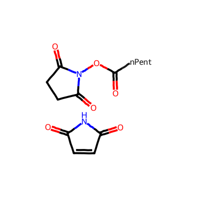 CCCCCC(=O)ON1C(=O)CCC1=O.O=C1C=CC(=O)N1